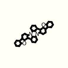 c1ccc2c(c1)oc1c2ccc2c1c1cccc3c1n2c1cccc2c4c5oc6ccccc6c5ccc4n3c21